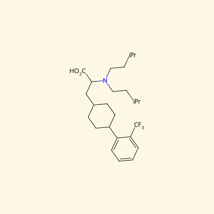 CC(C)CCN(CCC(C)C)C(CC1CCC(c2ccccc2C(F)(F)F)CC1)C(=O)O